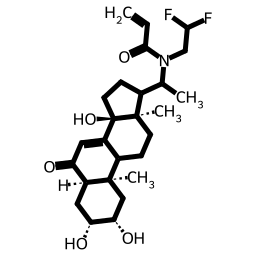 C=CC(=O)N(CC(F)F)C(C)C1CC[C@@]2(O)C3=CC(=O)[C@@H]4C[C@@H](O)[C@@H](O)C[C@]4(C)C3CC[C@]12C